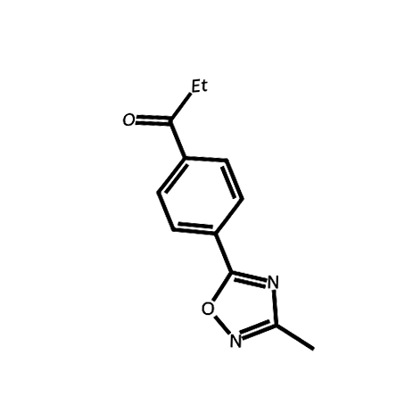 CCC(=O)c1ccc(-c2nc(C)no2)cc1